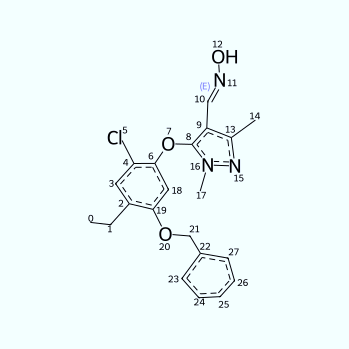 CCc1cc(Cl)c(Oc2c(/C=N/O)c(C)nn2C)cc1OCc1ccccc1